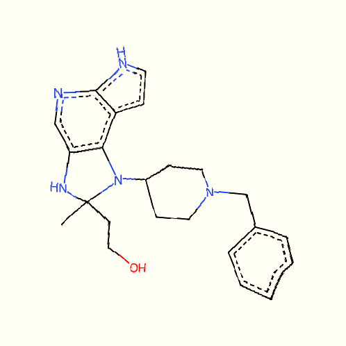 CC1(CCO)Nc2cnc3[nH]ccc3c2N1C1CCN(Cc2ccccc2)CC1